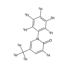 [2H]c1c([2H])c([2H])c(-n2cc(C([2H])([2H])[2H])cc([2H])c2=O)c([2H])c1[2H]